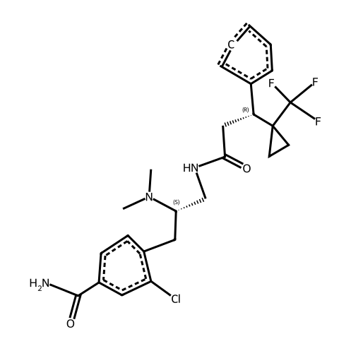 CN(C)[C@H](CNC(=O)C[C@H](c1ccccc1)C1(C(F)(F)F)CC1)Cc1ccc(C(N)=O)cc1Cl